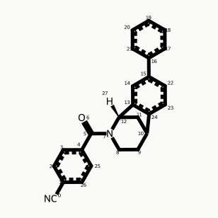 N#Cc1ccc(C(=O)N2CCC3C[C@H]2c2cc(-c4ccccc4)ccc23)cc1